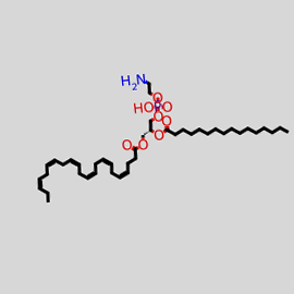 CC/C=C\C/C=C\C/C=C\C/C=C\C/C=C\C/C=C\CCC(=O)OC[C@H](COP(=O)(O)OCCN)OC(=O)CCCCCCCCCCCCCCC